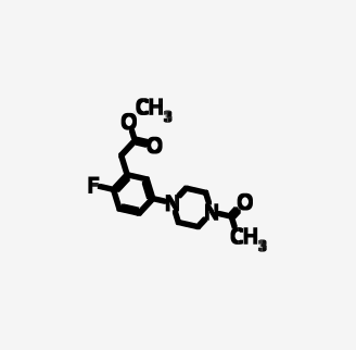 COC(=O)Cc1cc(N2CCN(C(C)=O)CC2)ccc1F